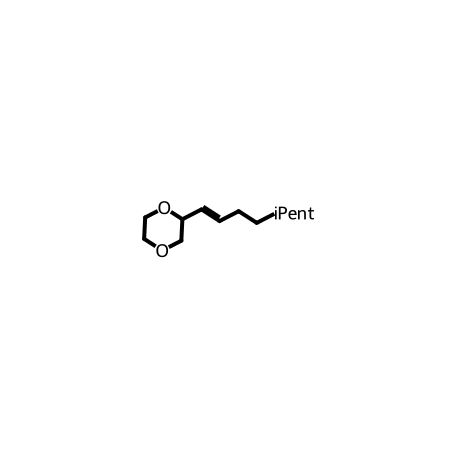 CCCC(C)CCC=CC1COCCO1